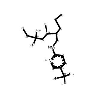 CCCC(CNc1ccc(C(F)(F)F)cn1)[C@H](C)CC(F)(F)CC